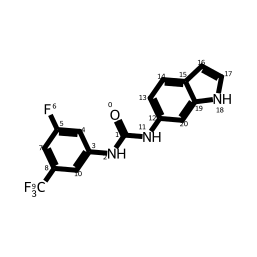 O=C(Nc1cc(F)cc(C(F)(F)F)c1)Nc1ccc2cc[nH]c2c1